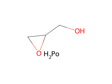 OCC1CO1.[PoH2]